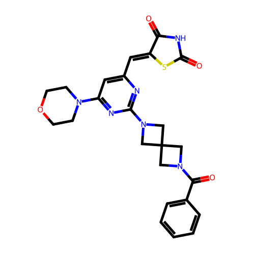 O=C1NC(=O)C(=Cc2cc(N3CCOCC3)nc(N3CC4(CN(C(=O)c5ccccc5)C4)C3)n2)S1